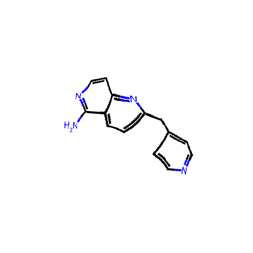 Nc1nccc2nc(Cc3ccncc3)ccc12